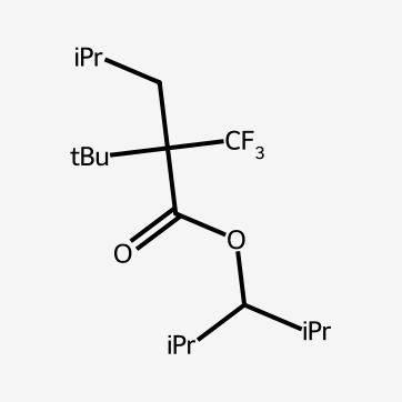 CC(C)CC(C(=O)OC(C(C)C)C(C)C)(C(C)(C)C)C(F)(F)F